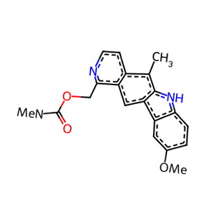 CNC(=O)OCc1nccc2c(C)c3[nH]c4ccc(OC)cc4c3cc12